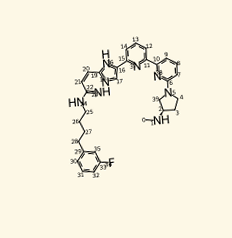 CN[C@@H]1CCN(c2cccc(-c3cccc(-c4cnc(/C=C\C(=N)NCCCCc5cccc(F)c5)[nH]4)n3)n2)C1